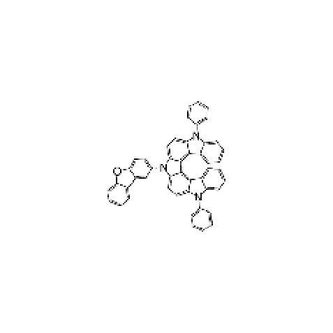 c1ccc(-n2c3ccccc3c3c4c5c6c7ccccc7n(-c7ccccc7)c6ccc5n(-c5ccc6oc7ccccc7c6c5)c4ccc32)cc1